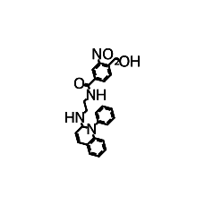 O=C(NCCNC1C=Cc2ccccc2N1c1ccccc1)c1ccc(CO)c([N+](=O)[O-])c1